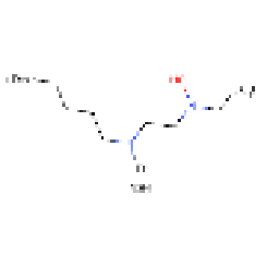 CCCCCCCCCCCCCCN(CC)CCN(O)CC(=O)O.[NaH]